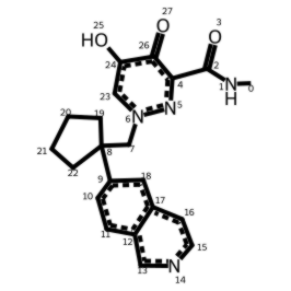 CNC(=O)c1nn(CC2(c3ccc4cnccc4c3)CCCC2)cc(O)c1=O